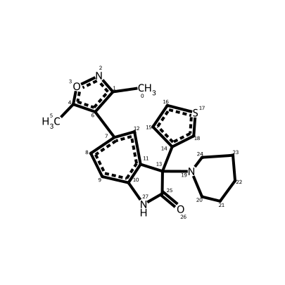 Cc1noc(C)c1-c1ccc2c(c1)C(c1ccsc1)(N1CCCCC1)C(=O)N2